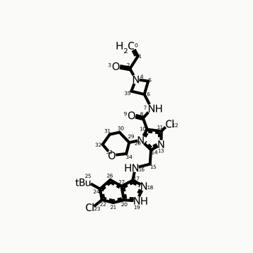 C=CC(=O)N1CC(NC(=O)c2c(Cl)nc(CNc3n[nH]c4cc(Cl)c(C(C)(C)C)cc34)n2C2CCCOC2)C1